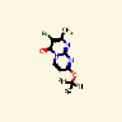 [2H]C([2H])([2H])Oc1ccn2c(=O)c(Br)c(C(F)(F)F)nc2n1